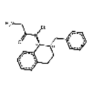 CCN(C(=O)CN)[C@@H]1c2ccccc2CC[C@H]1Cc1ccccc1